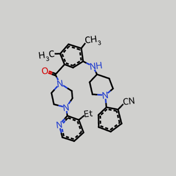 CCc1cccnc1N1CCN(C(=O)c2cc(NC3CCN(c4ccccc4C#N)CC3)c(C)cc2C)CC1